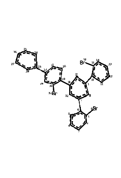 Brc1ccccc1-c1cc(-c2ccccc2Br)cc(-c2ccc(-c3ccccc3)cc2Br)c1